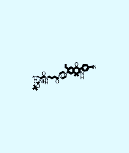 CCc1cc2c(cc1N1CCN(C(=O)CCCNC(=O)[C@H](COC)NC(=O)OC(C)(C)C)CC1)C(C)(C)c1[nH]c3cc(C#N)ccc3c1C2=O